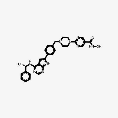 C[C@@H](Nc1ncnc2[nH]c(-c3ccc(CN4CCN(c5ncc(C(=O)NO)cn5)CC4)cc3)cc12)c1ccccc1